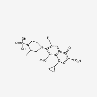 COc1c(N2CCN(P(=O)(O)O)C(C)C2)c(F)cc2c(=O)c(C(=O)O)cn(C3CC3)c12